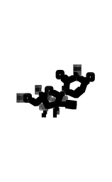 C#C[C@]1(F)[C@H](n2ccc(=O)[nH]c2=O)O[C@](F)(CO)[C@H]1C